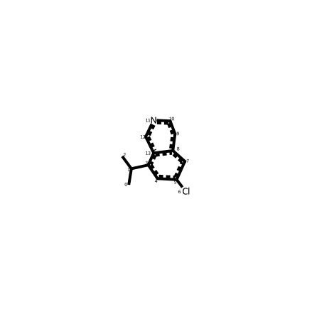 CC(C)c1cc(Cl)cc2ccncc12